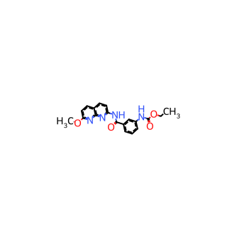 CCOC(=O)Nc1cccc(C(=O)Nc2ccc3ccc(OC)nc3n2)c1